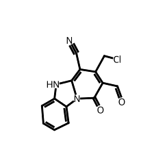 N#Cc1c(CCl)c(C=O)c(=O)n2c1[nH]c1ccccc12